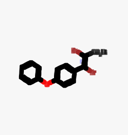 CCOC(=O)/C(Br)=C(\Br)c1ccc(Oc2ccccc2)cc1